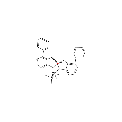 CC1=Cc2c(-c3ccccc3)cccc2[CH]1[Zr]([CH3])([CH3])([CH]1C(C)=Cc2c(-c3ccccc3)cccc21)=[Si](C)C